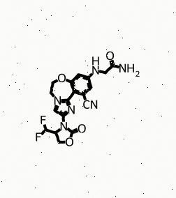 N#Cc1cc(NCC(N)=O)cc2c1-c1nc(N3C(=O)OCC3C(F)F)cn1CCO2